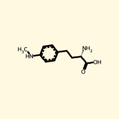 CNc1ccc(CC[C@H](N)C(=O)O)cc1